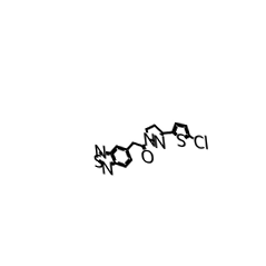 O=C(Cc1ccc2nsnc2c1)N1CCC(c2ccc(Cl)s2)=N1